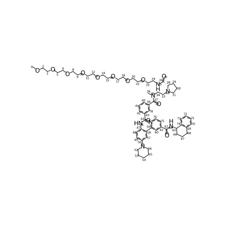 COCCOCCOCCOCCOCCOCCOCCOCCNC(=O)[C@@H]1CCCN1CCN(C)C(=O)c1cccc(C(=O)Nc2ccc(N3CCCCC3)cc2-c2cc(C(=O)NC3CCCc4ccccc43)ccn2)c1